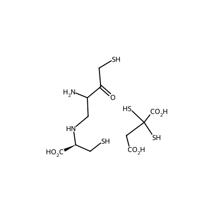 NC(CN[C@@H](CS)C(=O)O)C(=O)CS.O=C(O)CC(S)(S)C(=O)O